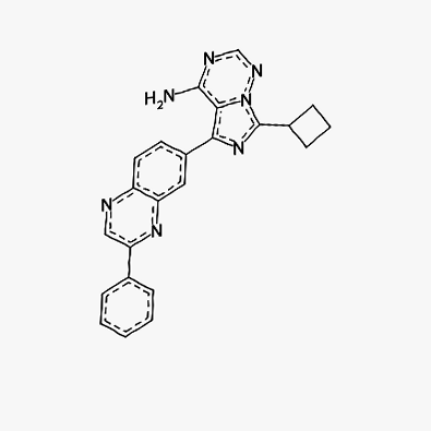 Nc1ncnn2c(C3CCC3)nc(-c3ccc4ncc(-c5ccccc5)nc4c3)c12